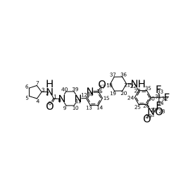 O=C(NC1CCCC1)N1CCN(c2cccc(O[C@H]3CC[C@H](Nc4ccc([N+](=O)[O-])c(C(F)(F)F)c4)CC3)n2)CC1